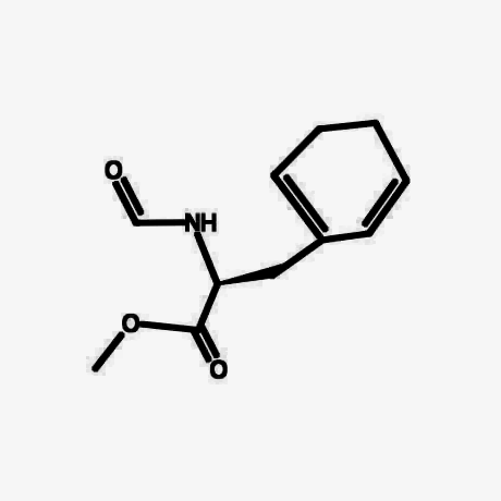 COC(=O)[C@H](CC1=CCCC=C1)NC=O